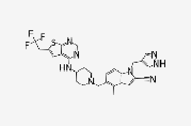 Cc1c(CN2CCC(Nc3ncnc4sc(CC(F)(F)F)cc34)CC2)ccc2c1cc(C#N)n2Cc1cn[nH]c1